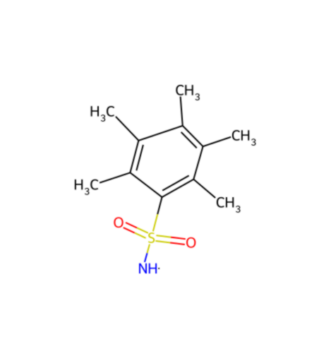 Cc1c(C)c(C)c(S([NH])(=O)=O)c(C)c1C